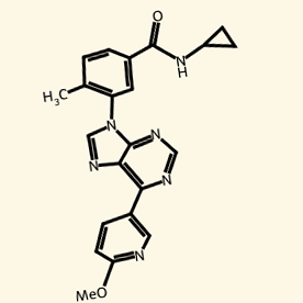 COc1ccc(-c2ncnc3c2ncn3-c2cc(C(=O)NC3CC3)ccc2C)cn1